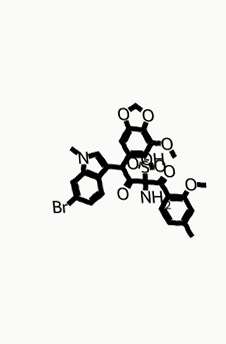 COc1cc(C)ccc1C(=O)C(N)(C(=O)C(c1cc(OC)c2c(c1)OCO2)c1cn(C)c2cc(Br)ccc12)S(=O)(=O)O